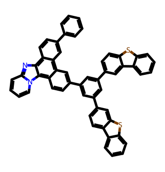 c1ccc(-c2ccc3c(c2)c2cc(-c4cc(-c5ccc6c(c5)sc5ccccc56)cc(-c5ccc6sc7ccccc7c6c5)c4)ccc2c2c3nc3ccccn32)cc1